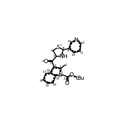 Cc1c(C(=O)C2CSC(c3cccnc3)N2)c2ccccc2n1C(=O)OC(C)(C)C